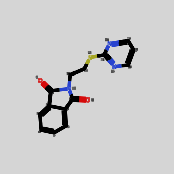 O=C1c2ccccc2C(=O)N1CCSc1ncccn1